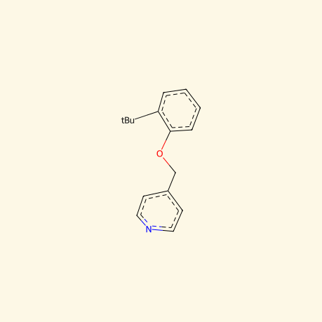 CC(C)(C)c1ccccc1OCc1ccncc1